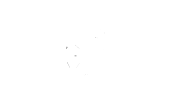 COc1ccc2[nH]cc(CCN(C)C3CC3)c2c1